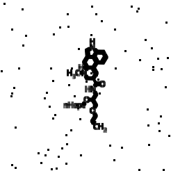 C=CCOCC(CNC(=O)[C@@H]1C=C2c3cccc4[nH]cc(c34)C[C@H]2N(C)C1)OCCCCCCC